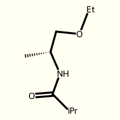 CCOC[C@@H](C)NC(=O)C(C)C